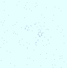 C[C@@H](CN1CC(C(=O)N2CCN(c3ncc(C(F)(F)F)cn3)CC2)C1)Nc1cnn(COCC[Si](C)(C)C)c(=O)c1C(F)(F)F